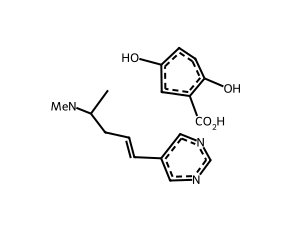 CNC(C)CC=Cc1cncnc1.O=C(O)c1cc(O)ccc1O